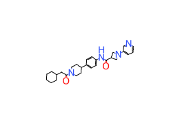 O=C(Nc1ccc(C2CCN(C(=O)CC3CCCCC3)CC2)cc1)C1CN(c2cccnc2)C1